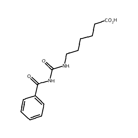 O=C(O)CCCCCNC(=O)NC(=O)c1ccccc1